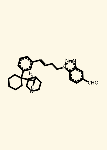 O=Cc1ccc2c(c1)nnn2CCC=Cc1cccc(C2([C@@H]3CN4CCC3CC4)CCCCC2)c1